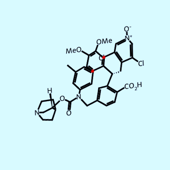 COc1ccc([C@H](Cc2c(Cl)c[n+]([O-])cc2Cl)c2cc(CN(C(=O)O[C@H]3CN4CCC3CC4)c3cccc(C)c3)ccc2C(=O)O)cc1OC